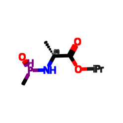 CC(C)OC(=O)[C@@H](C)N[PH](C)=O